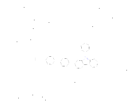 Cc1ccc(-c2ccc(-c3ccc4c5ccccc5n(-c5ccccc5)c4c3)cc2)cc1